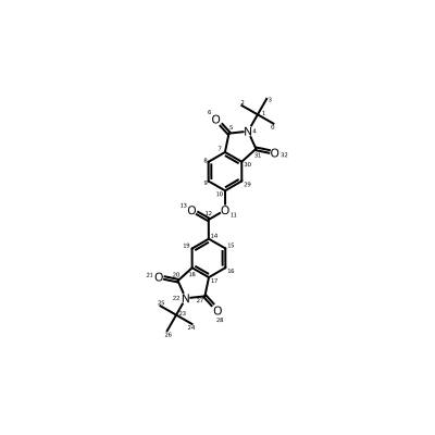 CC(C)(C)N1C(=O)c2ccc(OC(=O)c3ccc4c(c3)C(=O)N(C(C)(C)C)C4=O)cc2C1=O